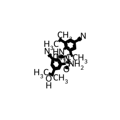 CC(C)c1cc(C#N)cc(C(C)C)c1NC(=O)N=[S@](N)(=O)c1cc(C#N)cc(C(C)(C)O)c1